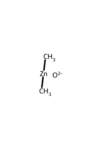 [CH3][Zn][CH3].[O-2]